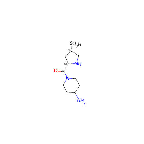 NC1CCN(C(=O)[C@@H]2C[C@H](S(=O)(=O)O)CN2)CC1